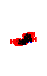 COOCN1CCN(CC(=O)O)CCN(CC(=O)O)CCN(CC(=O)NCC(=O)NCC2CCC(C(=O)NCC(O)C3OC(=O)C(O)=C3O)CC2)CC1